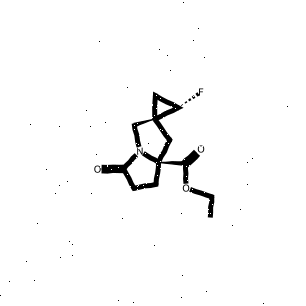 CCOC(=O)[C@@]12CCC(=O)N1C[C@]1(C[C@@H]1F)C2